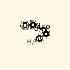 CN1CCN(c2cccc3c(=O)cc(-c4nc5ccc(N6CCOCC6)cc5o4)oc23)CC1